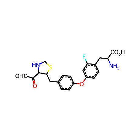 NC(Cc1ccc(Oc2ccc(CC3SCNC3C(=O)C=O)cc2)cc1F)C(=O)O